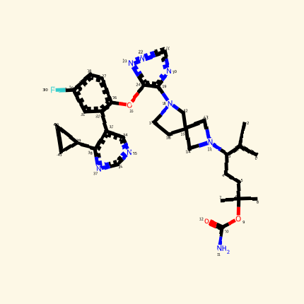 CC(C)C(CCC(C)(C)OC(N)=O)N1CC2(CCN(c3ncnnc3Oc3ccc(F)cc3-c3cncnc3C3CC3)C2)C1